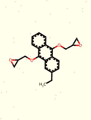 CCc1ccc2c(OCC3CO3)c3ccccc3c(OCC3CO3)c2c1